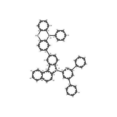 c1ccc(-c2cc(-c3ccccc3)nc(-n3c4ccc(-c5ccc6c(c5)N(c5ccccc5)c5ccccc5S6)cc4c4c5ccccc5ccc43)c2)cc1